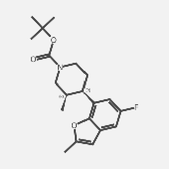 Cc1cc2cc(F)cc([C@@H]3CCN(C(=O)OC(C)(C)C)C[C@@H]3C)c2o1